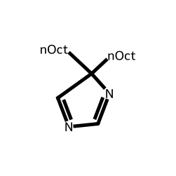 CCCCCCCCC1(CCCCCCCC)C=NC=N1